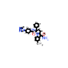 Cc1ccc2c(c1)c(C(N)=O)c1n2C[C@@](NC(=O)c2ccc(-n3cnnc3)cc2)(c2ccccc2)CC1